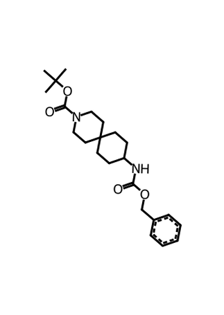 CC(C)(C)OC(=O)N1CCC2(CCC(NC(=O)OCc3ccccc3)CC2)CC1